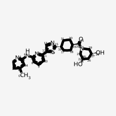 Cc1ccnc(Nc2cccc(-c3cnc([C@H]4CC[C@H](C(=O)N5C[C@H](O)C[C@@H](O)C5)CC4)s3)n2)c1